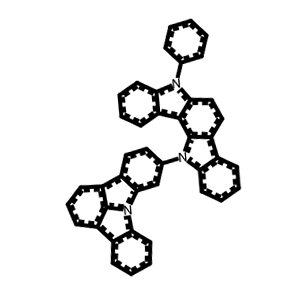 c1ccc(-n2c3ccccc3c3c2ccc2c4ccccc4n(-c4ccc5c6cccc7c8ccccc8n(c5c4)c76)c23)cc1